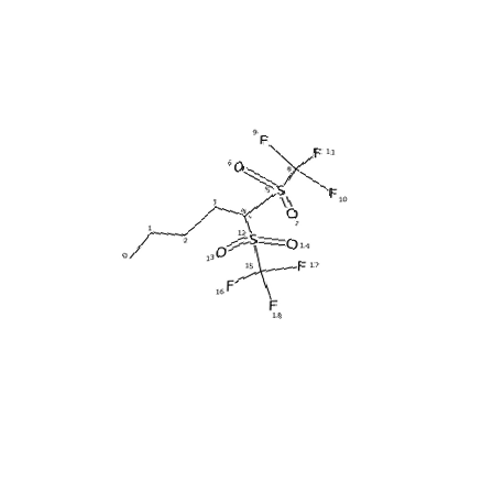 CCCC[C](S(=O)(=O)C(F)(F)F)S(=O)(=O)C(F)(F)F